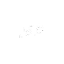 C=C1CC2(Cc3ccccc3C2Br)OC1=O